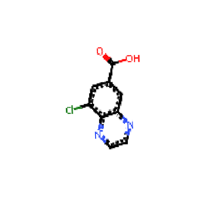 O=C(O)c1cc(Cl)c2nccnc2c1